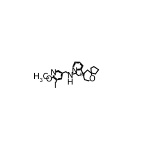 COc1ncc(CNCC[C@]2(c3ccccn3)CCOC3(CCCC3)C2)cc1I